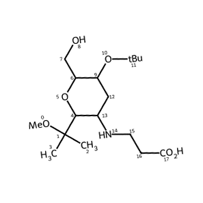 COC(C)(C)C1OC(CO)C(OC(C)(C)C)CC1NCCC(=O)O